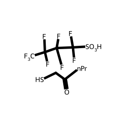 CCCC(=O)CS.O=S(=O)(O)C(F)(F)C(F)(F)C(F)(F)C(F)(F)F